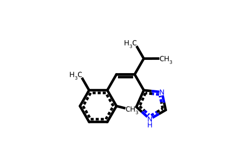 Cc1cccc(C)c1C=C(c1c[nH]cn1)C(C)C